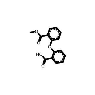 COC(=O)c1ccccc1Oc1ccccc1C(=O)O